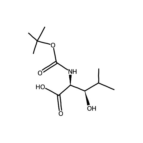 CC(C)[C@@H](O)[C@H](NC(=O)OC(C)(C)C)C(=O)O